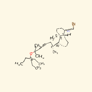 CC[Si](CC)(CC)OC(C)(C)C#CC[C@@H](C)[C@H]1CC[C@H]2/C(=C/Br)CCC[C@]12C